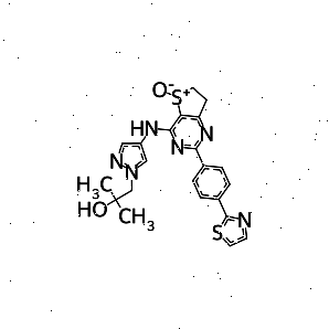 CC(C)(O)Cn1cc(Nc2nc(-c3ccc(-c4nccs4)cc3)nc3c2[S+]([O-])CC3)cn1